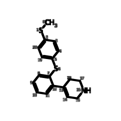 CSc1ccc(Sc2ccccc2C2=CCNCC2)cc1